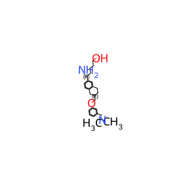 CN(C)Cc1cccc(OC[C@@H]2CCc3cc([C@H](CN)CCCCO)ccc3C2)c1